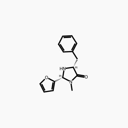 CN1C(=O)[C@@H](Cc2ccccc2)N[C@H]1c1ccco1